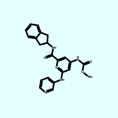 CC(C)(C)OC(=O)Nc1cc(Nc2cccnc2)nc(C(=O)NC2Cc3ccccc3C2)c1